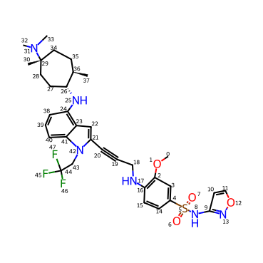 COc1cc(S(=O)(=O)Nc2ccon2)ccc1NCC#Cc1cc2c(N[C@@H]3CC[C@](C)(N(C)C)CC[C@H]3C)cccc2n1CC(F)(F)F